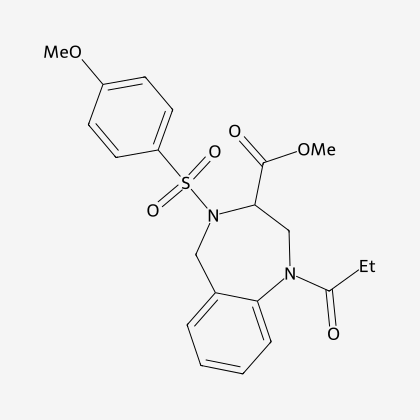 CCC(=O)N1CC(C(=O)OC)N(S(=O)(=O)c2ccc(OC)cc2)Cc2ccccc21